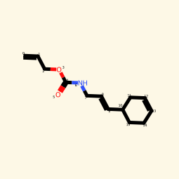 C=CCOC(=O)NC/C=C/C1CC=CCC1